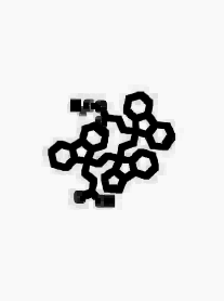 COC(=O)CCC1(CCC2(CCC3(CCC(=O)O)C4CC=CCC4C4CCCCC43)C3CC=CC3C3CCCCC32)C2CC=CCC2C2CCCCC21